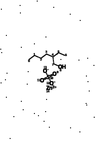 CCCCC(CC)CO.O=S(=O)([O-])[O-].[Zn+2]